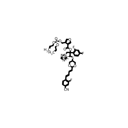 C=CCOP(=O)(OCC=C)OCc1cocc1C(=O)OC(Cn1cncn1)(c1ccc(F)cc1F)C(C)SC1COC(C=CC=Cc2ccc(C#N)cc2F)OC1